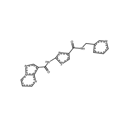 O=C(NCc1cccnc1)c1csc(NC(=O)c2cnn3cccnc23)n1